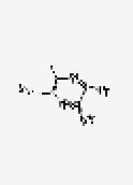 Cc1nc(C(C)C)c(C(C)C)nc1C(C)C